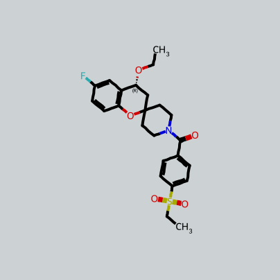 CCO[C@@H]1CC2(CCN(C(=O)c3ccc(S(=O)(=O)CC)cc3)CC2)Oc2ccc(F)cc21